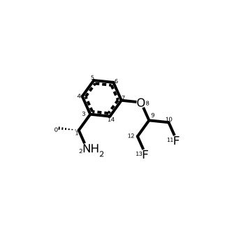 C[C@@H](N)c1cccc(OC(CF)CF)c1